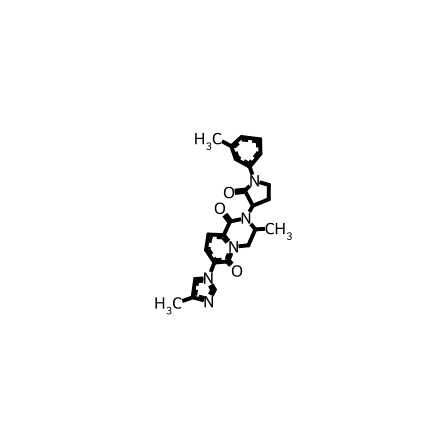 Cc1cccc(N2CCC(N3C(=O)c4ccc(-n5cnc(C)c5)c(=O)n4CC3C)C2=O)c1